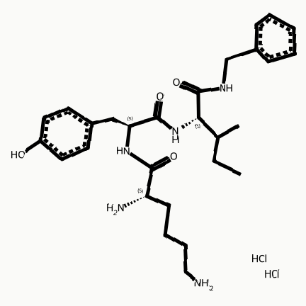 CCC(C)[C@H](NC(=O)[C@H](Cc1ccc(O)cc1)NC(=O)[C@@H](N)CCCCN)C(=O)NCc1ccccc1.Cl.Cl